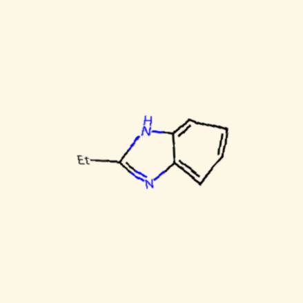 [CH2]Cc1nc2ccccc2[nH]1